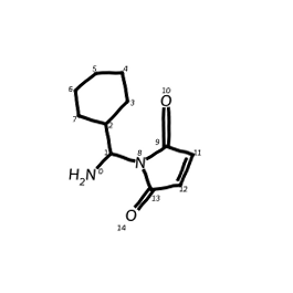 NC(C1CCCCC1)N1C(=O)C=CC1=O